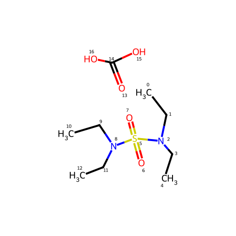 CCN(CC)S(=O)(=O)N(CC)CC.O=C(O)O